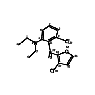 CCN(CC)c1cccc(Cl)c1Nc1occc1Cl